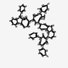 c1ccc(-c2nc(-c3ccccc3)nc(-c3cccc4sc5cc(-c6nc(-c7ccc8c9ccccc9n(-c9ccccc9)c8c7)nc7c6sc6ccccc67)ccc5c34)n2)cc1